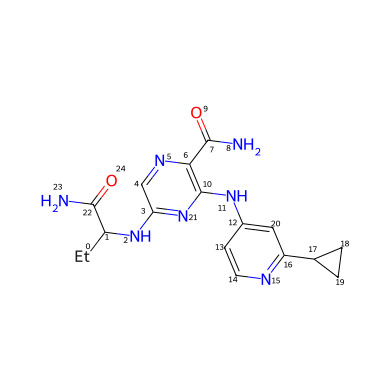 CCC(Nc1cnc(C(N)=O)c(Nc2ccnc(C3CC3)c2)n1)C(N)=O